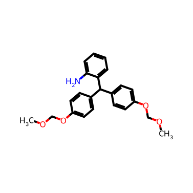 COCOc1ccc(C(c2ccc(OCOC)cc2)c2ccccc2N)cc1